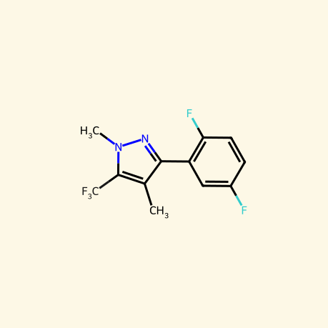 Cc1c(-c2cc(F)ccc2F)nn(C)c1C(F)(F)F